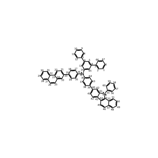 c1ccc(-c2cc(-c3ccccc3)cc(N(c3ccc(-c4ccc5c(ccc6ccccc65)c4)cc3)c3ccc(-c4ccc5c6ccc7ccccc7c6n(-c6ccccc6)c5c4)cc3)c2)cc1